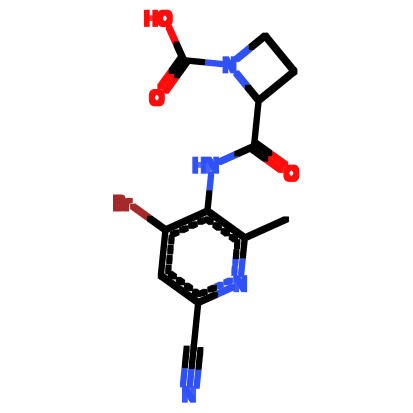 Cc1nc(C#N)cc(Br)c1NC(=O)C1CCN1C(=O)O